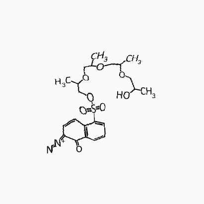 CC(O)COC(C)COC(C)COC(C)COS(=O)(=O)c1cccc2c1C=CC(=[N+]=[N-])C2=O